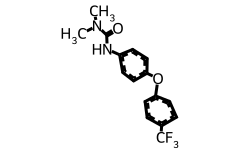 CN(C)C(=O)Nc1ccc(Oc2ccc(C(F)(F)F)cc2)cc1